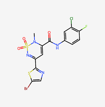 CN1C(C(=O)Nc2ccc(F)c(Cl)c2)=CC(c2ncc(Br)s2)=NS1(=O)=O